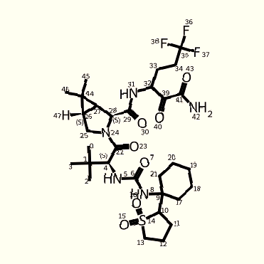 CC(C)(C)[C@H](NC(=O)NC1(C2CCCS2(=O)=O)CCCCC1)C(=O)N1C[C@H]2C([C@H]1C(=O)NC(CCC(F)(F)F)C(=O)C(N)=O)C2(C)C